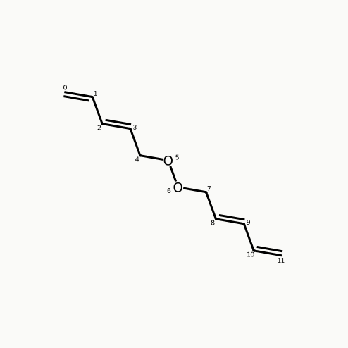 C=CC=CCOOCC=CC=C